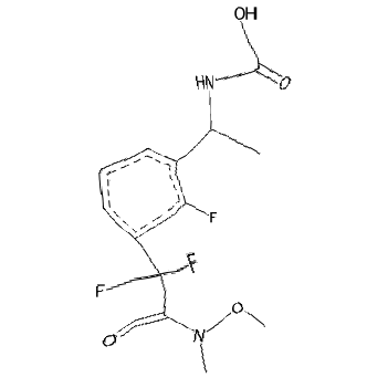 CON(C)C(=O)C(F)(F)c1cccc(C(C)NC(=O)O)c1F